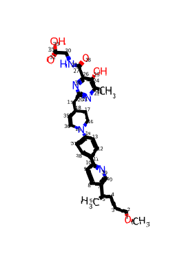 COCCCC(C)c1ccc(-c2ccc(N3CCC(Cc4nc(C)c(O)c(C(=O)NCC(=O)O)n4)CC3)cc2)nc1